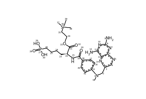 CN(Cc1cnc2nc(N)nc(N)c2n1)c1ccc(C(=O)N[C@@H](CCCCP(=O)(O)O)C(=O)OCC[Si](C)(C)C)cc1